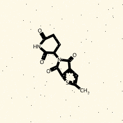 Cc1cc2c(s1)C(=O)N(C1CCC(=O)NC1=O)C2=O